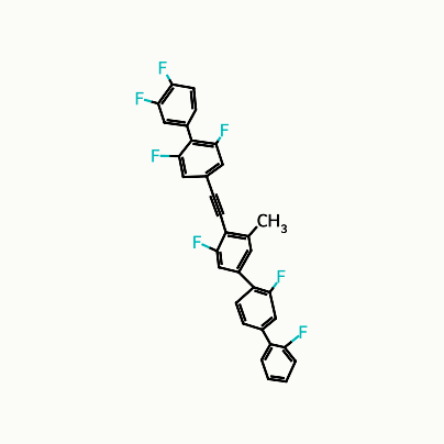 Cc1cc(-c2ccc(-c3ccccc3F)cc2F)cc(F)c1C#Cc1cc(F)c(-c2ccc(F)c(F)c2)c(F)c1